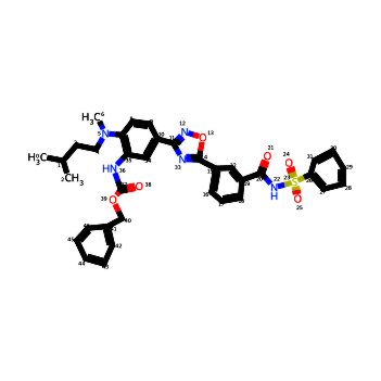 CC(C)CCN(C)c1ccc(-c2noc(-c3cccc(C(=O)NS(=O)(=O)c4ccccc4)c3)n2)cc1NC(=O)OCc1ccccc1